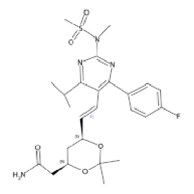 CC(C)c1nc(N(C)S(C)(=O)=O)nc(-c2ccc(F)cc2)c1/C=C/[C@@H]1C[C@H](CC(N)=O)OC(C)(C)O1